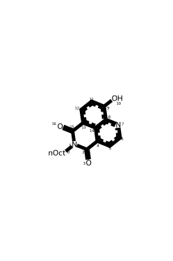 CCCCCCCCN1C(=O)c2ccnc3c(O)ccc(c23)C1=O